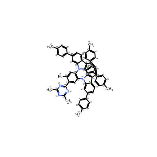 Cc1ccc(-c2ccc3c4ccc(-c5ccc(C)cc5)cc4n(-c4cc(C#N)c(-c5nc(C)nc(C)n5)cc4-n4c5cc(-c6ccc(C)cc6)ccc5c5ccc(-c6ccc(C)cc6)cc54)c3c2)cc1